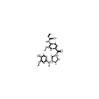 C=CC(=O)Nc1ccc(C(=O)N2CC[C@H](Nc3ncc(Cl)c(OC)n3)C2)cc1OC